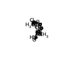 COc1nc(-c2cccc(-c3cccc(NC(=O)c4cc(Cl)nn(C)c4=O)c3Cl)c2Cl)cc2c1C(NCC1CCC(=O)N1)CC2